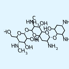 CNC1C(O[C@H]2OC(CO)[C@@H](NC)C(O)C2O)O[C@H]2CC(N)[C@@H](O[C@@H]3C(N)C[C@@H](N)CC3O)OC2C1O